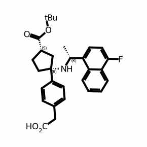 C[C@@H](N[C@]1(c2ccc(CC(=O)O)cc2)CC[C@H](C(=O)OC(C)(C)C)C1)c1ccc(F)c2ccccc12